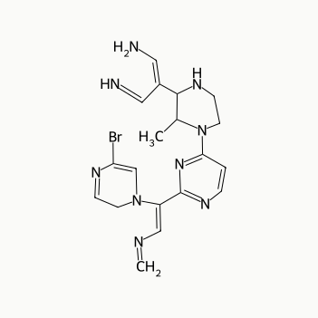 C=N/C=C(/c1nccc(N2CCNC(/C(C=N)=C/N)C2C)n1)N1C=C(Br)N=CC1